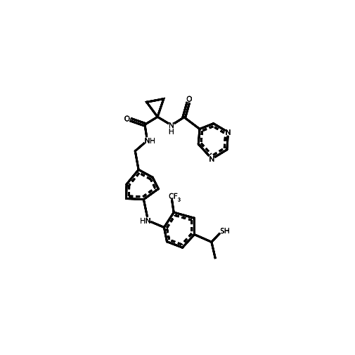 CC(S)c1ccc(Nc2ccc(CNC(=O)C3(NC(=O)c4cncnc4)CC3)cc2)c(C(F)(F)F)c1